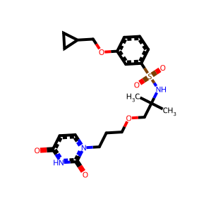 CC(C)(COCCCn1ccc(=O)[nH]c1=O)NS(=O)(=O)c1cccc(OCC2CC2)c1